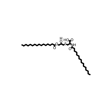 CCCCCCCCCCCCCCCC(=O)NC(CSC[C@H](O)COC(=O)CCCCCCCCCCCCCCC)C(=O)O